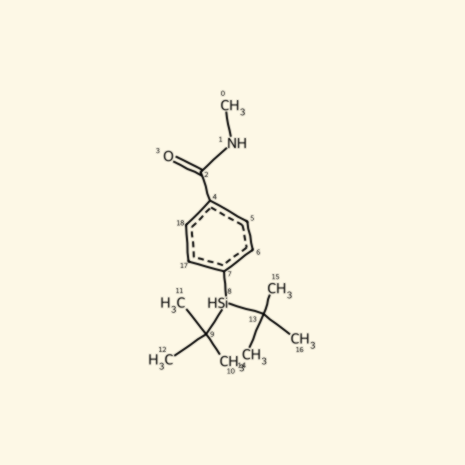 CNC(=O)c1ccc([SiH](C(C)(C)C)C(C)(C)C)cc1